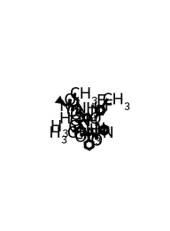 CCCC(NC(=O)C1C[C@H](Oc2ccc(C(C)(F)F)cn2)CN1C(=O)C(NC(=O)C(NC(=O)c1cnccn1)C1CCCCC1)C(C)(C)C)C(=O)C(=O)NC1CC1